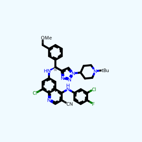 COCc1cccc([C@H](Nc2cc(Cl)c3ncc(C#N)c(Nc4ccc(F)c(Cl)c4)c3c2)c2cn(C3CCN(C(C)(C)C)CC3)nn2)c1